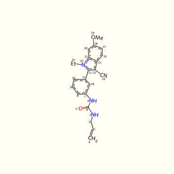 C=CCNC(=O)Nc1cccc(-c2c(C#N)c3ccc(OC)cc3n2CC)c1